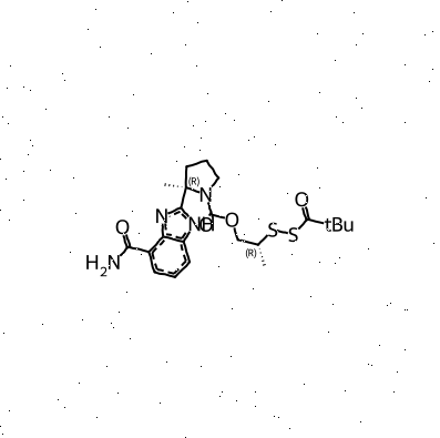 C[C@H](COC(=O)N1CCC[C@]1(C)c1nc2c(C(N)=O)cccc2[nH]1)SSC(=O)C(C)(C)C